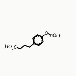 CCCCCCCCOc1ccc(CCCC(=O)O)cc1